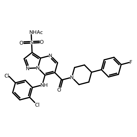 CC(=O)NS(=O)(=O)c1cnn2c(Nc3cc(Cl)ccc3Cl)c(C(=O)N3CCC(c4ccc(F)cc4)CC3)cnc12